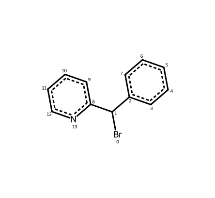 BrC(c1ccccc1)c1ccccn1